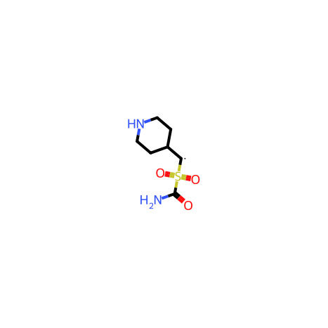 NC(=O)S(=O)(=O)[CH]C1CCNCC1